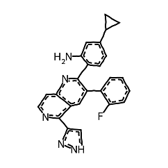 Nc1cc(C2CC2)ccc1-c1nc2ccnc(-c3cc[nH]n3)c2cc1-c1ccccc1F